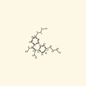 CCCCc1ccc(C(CC)=C(CC)c2ccc(CCCC)cc2)cc1